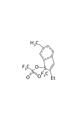 CCC1=Cc2ccc(C)cc2S1(OS(=O)(=O)C(F)(F)F)C(F)(F)F